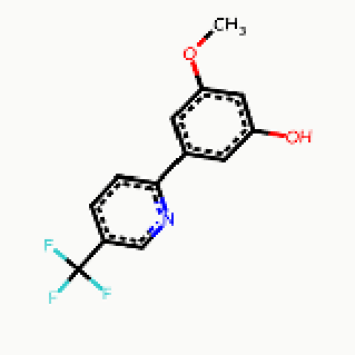 COc1cc(O)cc(-c2ccc(C(F)(F)F)cn2)c1